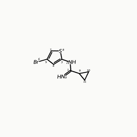 N=C(Nc1cc(Br)cs1)C1CC1